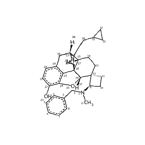 CN(Cc1ccccc1)[C@@H]1CC[C@]12CC[C@@]1(O)[C@H]3Cc4ccc(O)c5c4[C@@]1(CCN3CC1CC1)[C@H]2O5